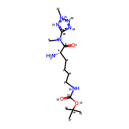 CN(C(=O)[C@@H](N)CCCCNC(=O)OC(C)(C)C)c1nnn(C)n1